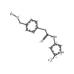 CCOCc1ccc(CC(=O)Nc2c[nH]c(C(F)(F)F)c2)cc1